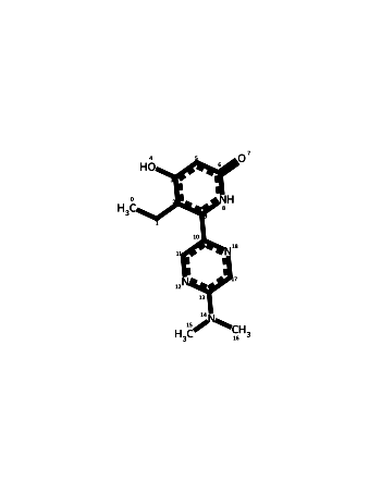 CCc1c(O)cc(=O)[nH]c1-c1cnc(N(C)C)cn1